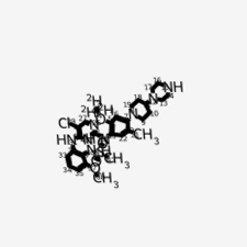 [2H]C([2H])([2H])Oc1cc(N2CCC(N3CCNCC3)CC2)c(C)cc1Nc1ncc(Cl)c(Nc2cccc(OC)c2NS(C)(=O)=O)n1